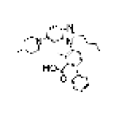 CCCCc1nc2ccc(N3CCC(C)CC3)cc2n1-c1ccc(-c2ccccc2)c(C(=O)O)c1C